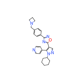 c1cc(-c2c(-c3nc(-c4ccc(CN5CCC5)cc4)no3)cnn2C2CCCCC2)ccn1